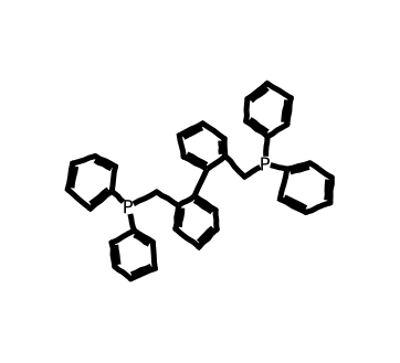 c1ccc(P(Cc2ccccc2-c2ccccc2CP(c2ccccc2)c2ccccc2)c2ccccc2)cc1